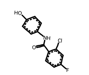 O=C(Nc1ccc(O)cc1)c1ccc(F)cc1Cl